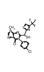 Cn1cnc2c(=O)n(-c3ccc(Cl)cc3)c(C(S)c3nc(C(F)(F)F)cs3)nc21